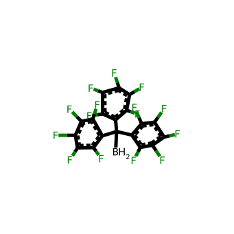 BC(c1c(F)c(F)c(F)c(F)c1F)(c1c(F)c(F)c(F)c(F)c1F)c1c(F)c(F)c(F)c(F)c1F